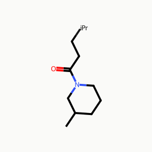 CC(C)CCC(=O)N1CCCC(C)C1